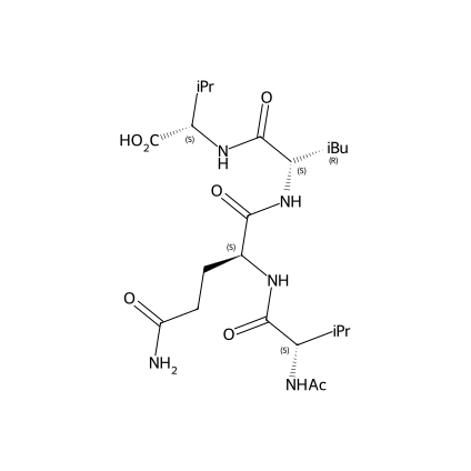 CC[C@@H](C)[C@H](NC(=O)[C@H](CCC(N)=O)NC(=O)[C@@H](NC(C)=O)C(C)C)C(=O)N[C@H](C(=O)O)C(C)C